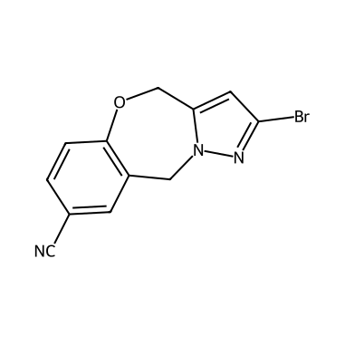 N#Cc1ccc2c(c1)Cn1nc(Br)cc1CO2